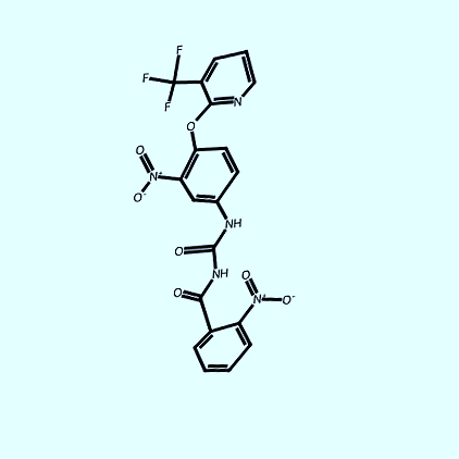 O=C(NC(=O)c1ccccc1[N+](=O)[O-])Nc1ccc(Oc2ncccc2C(F)(F)F)c([N+](=O)[O-])c1